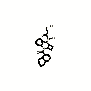 CCN(C(=O)CCC(=O)O)C1c2ccccc2N(C(=O)c2cccc3ccccc23)C2CCC12